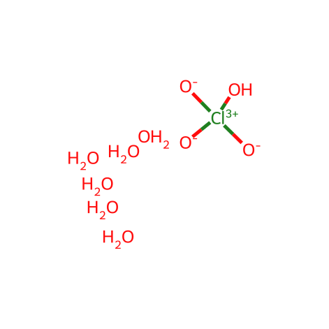 O.O.O.O.O.O.[O-][Cl+3]([O-])([O-])O